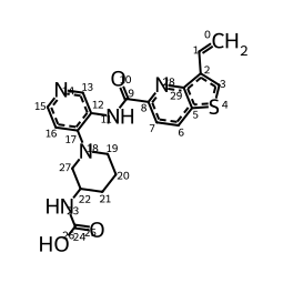 C=Cc1csc2ccc(C(=O)Nc3cnccc3N3CCCC(NC(=O)O)C3)nc12